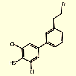 CC(C)CCc1cccc(-c2cc(Cl)c(S)c(Cl)c2)c1